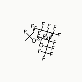 CC(F)(CF)O[Si](F)(OC(F)(C(F)(F)F)C(F)(F)F)OC(F)(C(F)(F)F)C(F)(F)F